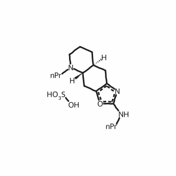 CCCNc1nc2c(o1)C[C@H]1[C@@H](CCCN1CCC)C2.O=S(=O)(O)O